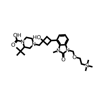 Cn1c(=O)n(COCC[Si](C)(C)C)c2cccc(C3CC(O)(CN4CCN(C(=O)O)C(C(C)(C)C)C4)C3)c21